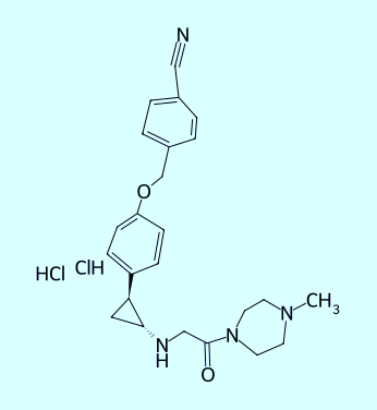 CN1CCN(C(=O)CN[C@@H]2C[C@H]2c2ccc(OCc3ccc(C#N)cc3)cc2)CC1.Cl.Cl